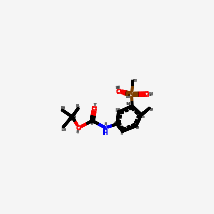 Cc1ccc(NC(=O)OC(C)(C)C)cc1S(C)(=O)=O